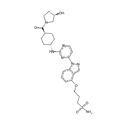 NS(=O)(=O)CCCOc1cccc2c1cnn2-c1ccnc(N[C@H]2CC[C@H](C(=O)N3CC[C@@H](O)C3)CC2)n1